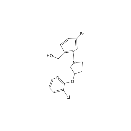 OCc1ccc(Br)cc1N1CCC(Oc2ncccc2Cl)C1